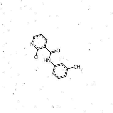 Cc1cccc(NC(=O)c2cccnc2Cl)c1